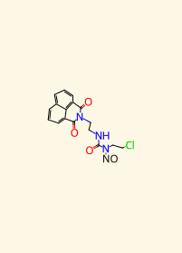 O=NN(CCCl)C(=O)NCCN1C(=O)c2cccc3cccc(c23)C1=O